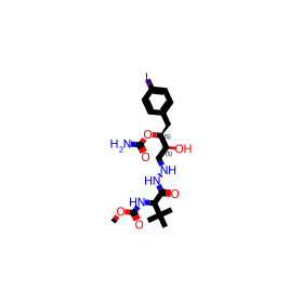 COC(=O)NC(C(=O)NNC[C@H](O)[C@H](Cc1ccc(I)cc1)OC(N)=O)C(C)(C)C